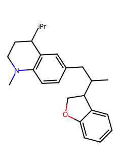 CC(C)C1CCN(C)c2ccc(CC(C)C3COc4ccccc43)cc21